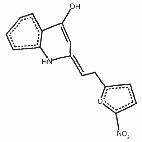 O=[N+]([O-])c1ccc(C/C=C2\C=C(O)c3ccccc3N2)o1